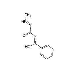 C=[PH]=CC(=O)/C=C(\O)c1ccccc1